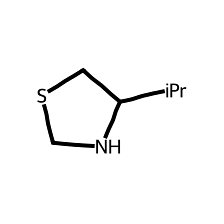 CC(C)C1CSCN1